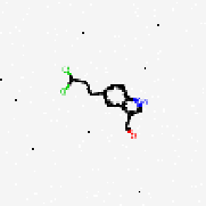 O=Cc1c[nH]c2ccc(CCC(Cl)Cl)cc12